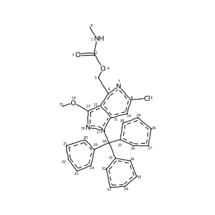 CNC(=O)OCc1nc(Cl)cc2c1c(OC)nn2C(c1ccccc1)(c1ccccc1)c1ccccc1